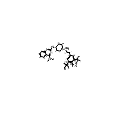 CN(C)c1nc(N[C@H]2CC[C@@H](NCCc3cc(C(C)(C)C)c(O)c(C(C)(C)C)c3)CC2)nc2ccccc12